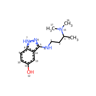 CC(CCNc1n[nH]c2ccc(O)cc12)N(C)C